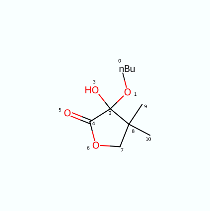 CCCCOC1(O)C(=O)OCC1(C)C